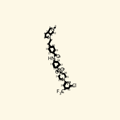 CN1CC2CCN(CCc3ccc(C(=O)Nc4ccc(S(=O)(=O)N5CCN(c6cc(C(F)(F)F)cc(Cl)n6)CC5)cc4)cc3)C2C1